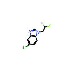 FC(F)Cn1cnc2cc(Cl)ccc21